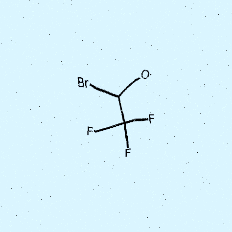 [O]C(Br)C(F)(F)F